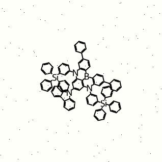 c1ccc(-c2ccc3c(c2)N(c2cccc([Si](c4ccccc4)(c4ccccc4)c4ccccc4)c2)c2cc(-n4c5ccccc5c5ccccc54)cc4c2B3c2ccc(-c3ccccc3)cc2N4c2cccc([Si](c3ccccc3)(c3ccccc3)c3ccccc3)c2)cc1